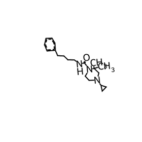 CC1(C)CN(C2CC2)CCN1C(=O)NCCCCc1ccccc1